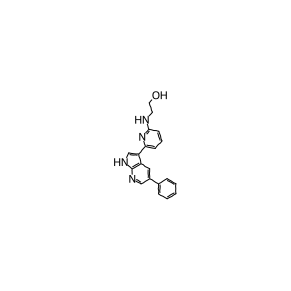 OCCNc1cccc(-c2c[nH]c3ncc(-c4ccccc4)cc23)n1